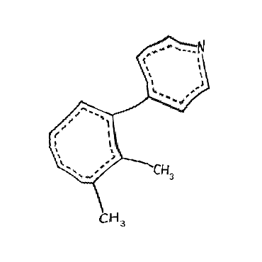 Cc1cccc(-c2ccncc2)c1C